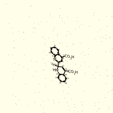 [2H]C1(c2cc(C(=O)O)c3ccccc3n2)C=C(C(=O)O)c2ccccc2N1